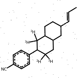 [2H]C1([2H])CC2CC(/C=C/C)CCC2C([2H])([2H])C1c1ccc(C#N)cc1